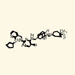 C[C@]1(O)CC[C@@H](CN[C@@H]2[C@@H]3CC4C[C@H]2C[C@@](CNc2nc(NCc5cccnc5SC5CCCC5)ncc2C#N)(C4)C3)CC1